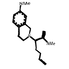 C=CCCC(C(=C)NC)N1CCc2ccc(NC)cc2C1